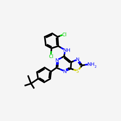 CC(C)(C)c1ccc(-c2nc(Nc3c(Cl)cccc3Cl)c3nc(N)sc3n2)cc1